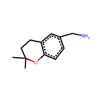 CC1(C)CCc2cc(CN)ccc2O1